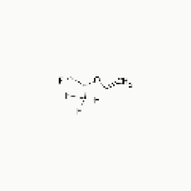 C=COC(CF)C(F)(F)F